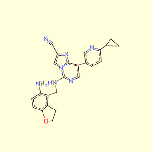 N#Cc1cn2c(NCc3c(N)ccc4c3CCO4)ncc(-c3ccc(C4CC4)nc3)c2n1